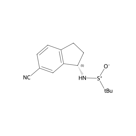 CC(C)(C)[S+]([O-])N[C@H]1CCc2ccc(C#N)cc21